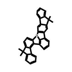 CC1(C)c2ccccc2-c2cc3c(cc21)c1cccc2c4c5c(ccc4n3c12)C(C)(C)c1ccccc1-5